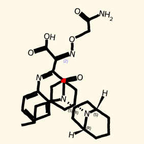 CCCC1CCC[C@H](N2[C@@H]3CCC[C@H]2C[C@@H](n2c(=O)c(/C(=N/OCC(N)=O)C(=O)O)nc4ccccc42)C3)C1